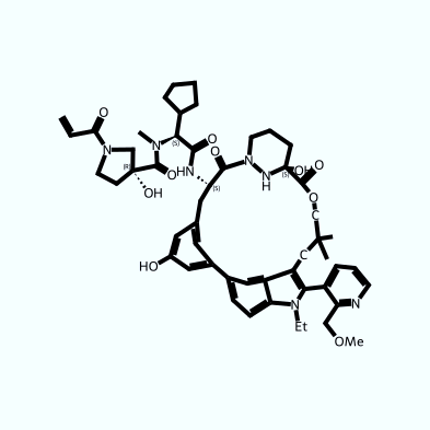 C=CC(=O)N1CC[C@](O)(C(=O)N(C)[C@H](C(=O)N[C@H]2Cc3cc(O)cc(c3)-c3ccc4c(c3)c(c(-c3cccnc3COC)n4CC)CC(C)(C)COC(=O)[C@@]3(O)CCCN(N3)C2=O)C2CCCC2)C1